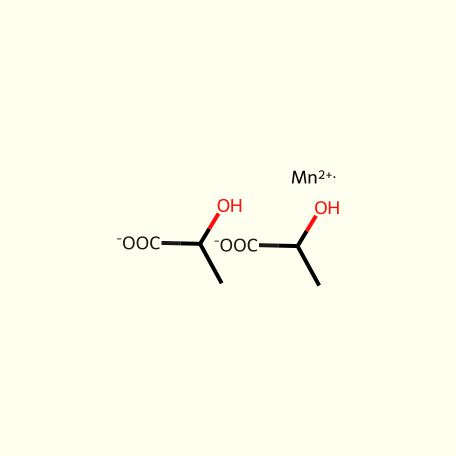 CC(O)C(=O)[O-].CC(O)C(=O)[O-].[Mn+2]